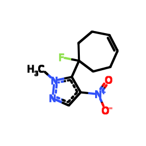 Cn1ncc([N+](=O)[O-])c1C1(F)CCC=CCC1